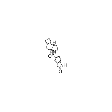 O=C1Cc2cc(C(=O)N3CCC[C@@H]4c5ccccc5CC[C@@H]43)ccc2N1